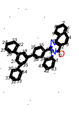 O=c1c2ccc3ccccc3c2nc(-c2ccc(-c3cc(-c4ccccc4)cc(-c4ccccc4)c3)cc2)n1-c1ccccc1